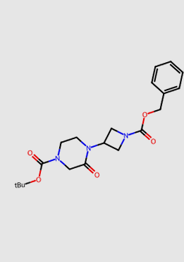 CC(C)(C)OC(=O)N1CCN(C2CN(C(=O)OCc3ccccc3)C2)C(=O)C1